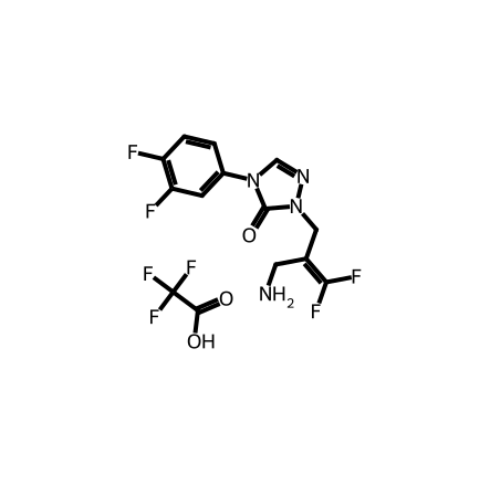 NCC(Cn1ncn(-c2ccc(F)c(F)c2)c1=O)=C(F)F.O=C(O)C(F)(F)F